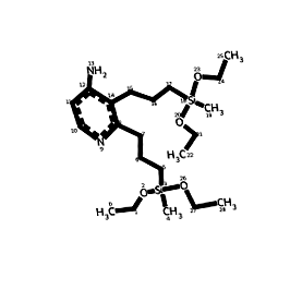 CCO[Si](C)(CCCc1nccc(N)c1CCC[Si](C)(OCC)OCC)OCC